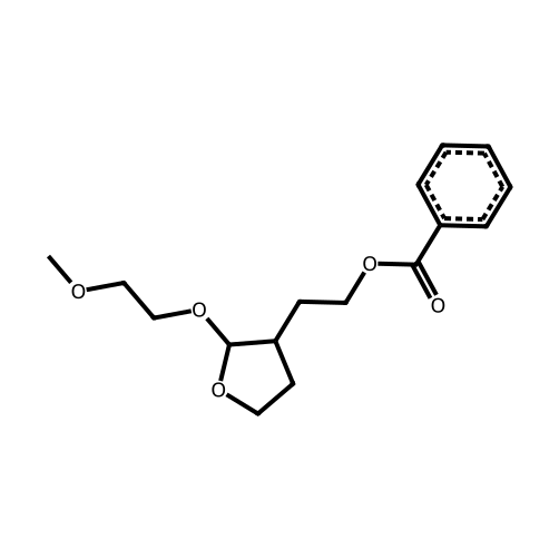 COCCOC1OCCC1CCOC(=O)c1ccccc1